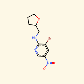 O=[N+]([O-])c1cnc(NCC2CCCO2)c(Br)c1